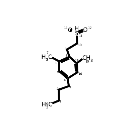 CCCCc1cc(C)c(CC[SH](=O)=O)c(C)c1